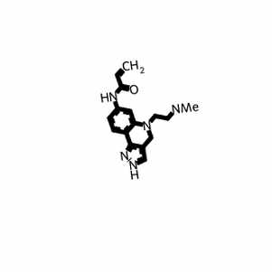 C=CC(=O)Nc1ccc2c(c1)N(CCNC)Cc1c[nH]nc1-2